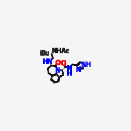 CC[C@H](C)[C@@H](CN[C@H]1CCc2cccc3c2N(C1=O)[C@H](C(=O)NCc1c[nH]cn1)C3)NC(C)=O